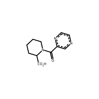 O=C(O)C1CCCCN1C(=O)c1cnccn1